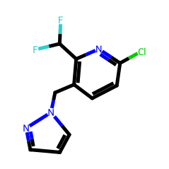 FC(F)c1nc(Cl)ccc1Cn1cccn1